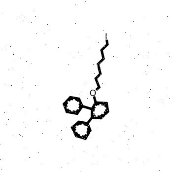 ICCCCCCCOc1cccc(-c2ccccc2)c1-c1ccccc1